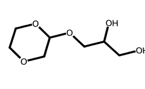 OCC(O)COC1COCCO1